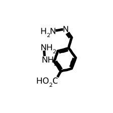 N/N=C\c1ccc(C(=O)O)cc1.NN